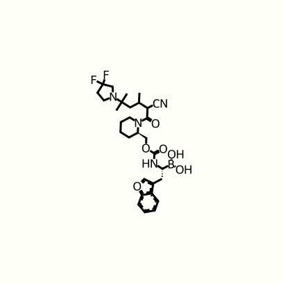 CC(CC(C)(C)N1CCC(F)(F)C1)C(C#N)C(=O)N1CCCC[C@@H]1COC(=O)N[C@@H](Cc1coc2ccccc12)B(O)O